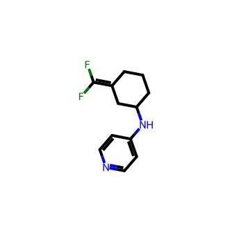 FC(F)=C1CCCC(Nc2ccncc2)C1